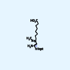 C=NN(/C=C(\N)CCCCCCC)CCCCCCCC(=O)O